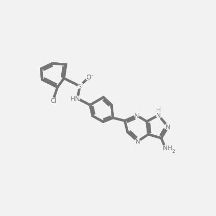 Nc1n[nH]c2nc(-c3ccc(N[S+]([O-])c4ccccc4Cl)cc3)cnc12